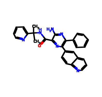 CC(C)(NC(=O)c1nc(-c2ccc3ncccc3c2)c(-c2ccccc2)nc1N)c1ccccn1